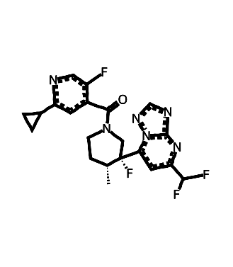 C[C@@H]1CCN(C(=O)c2cc(C3CC3)ncc2F)C[C@@]1(F)c1cc(C(F)F)nc2ncnn12